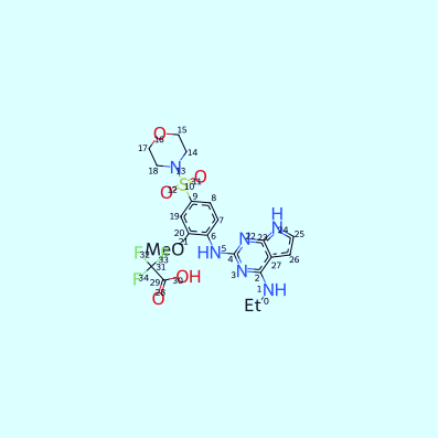 CCNc1nc(Nc2ccc(S(=O)(=O)N3CCOCC3)cc2OC)nc2[nH]ccc12.O=C(O)C(F)(F)F